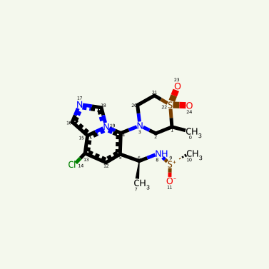 CC1CN(c2c([C@H](C)N[S@+](C)[O-])cc(Cl)c3cncn23)CCS1(=O)=O